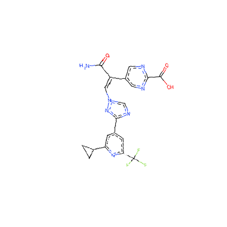 NC(=O)/C(=C/n1cnc(-c2cc(C3CC3)nc(C(F)(F)F)c2)n1)c1cnc(C(=O)O)nc1